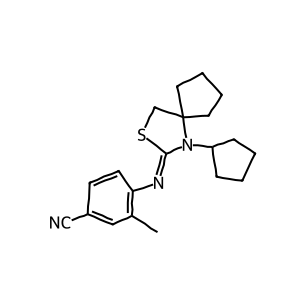 Cc1cc(C#N)ccc1N=C1SCC2(CCCC2)N1C1CCCC1